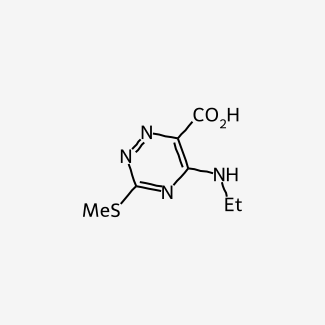 CCNc1nc(SC)nnc1C(=O)O